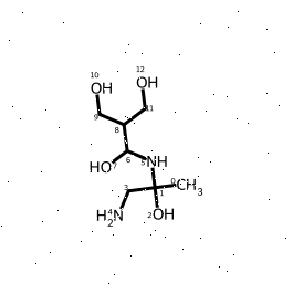 CC(O)(CN)NC(O)C(CO)CO